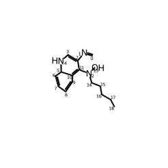 C=NC1=CNC2C=CC=CC2=C1N(O)CCCCC